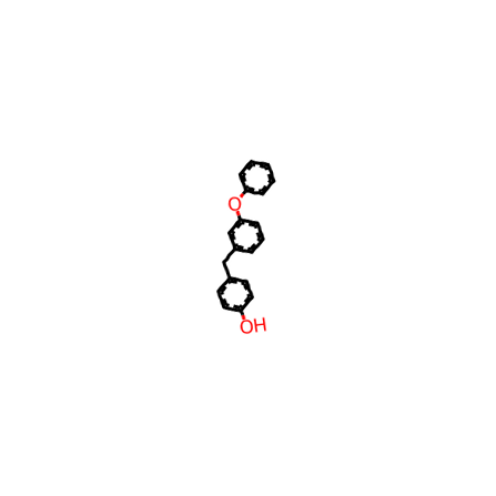 Oc1ccc(Cc2cccc(Oc3ccccc3)c2)cc1